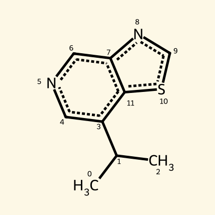 CC(C)c1cncc2ncsc12